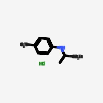 CCOC(=O)C(C)Nc1ccc([N+](=O)[O-])cc1.Cl